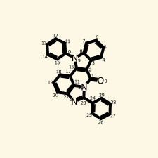 O=c1c2c3ccccc3n(-c3ccccc3)c2c2cccc3nc(-c4ccccc4)n1c32